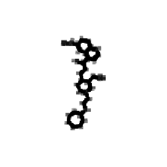 COc1ccc2nccc(C(F)CC[C@@H]3CCN(CCSC4CCCCCC4)C[C@@H]3CO)c2c1